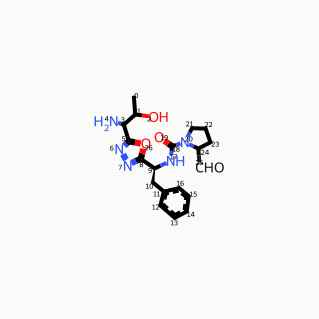 CC(O)C(N)c1nnc([C@H](Cc2ccccc2)NC(=O)N2CCCC2C=O)o1